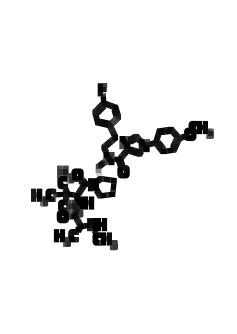 CN[C@@H](C)C(=O)N[C@H](C(=O)N1CCC[C@H]1CN(CCc1ccc(F)cc1)C(=O)c1cn(-c2ccc(OC)cc2)cn1)C(C)(C)C